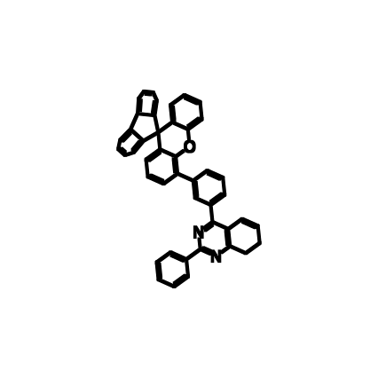 C1=Cc2c(nc(-c3ccccc3)nc2-c2cccc(-c3cccc4c3Oc3ccccc3C43c4ccccc4-c4ccccc43)c2)CC1